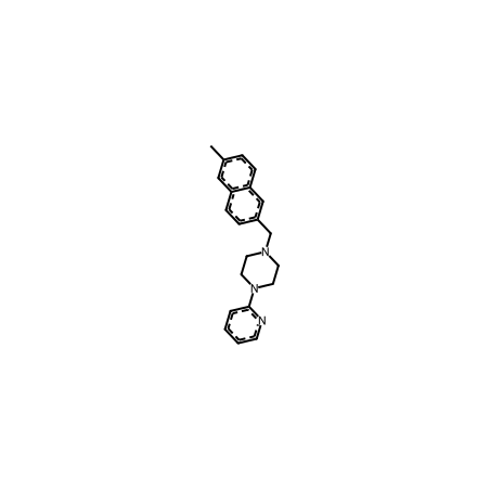 Cc1ccc2cc(CN3CCN(c4ccccn4)CC3)ccc2c1